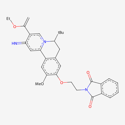 C=C(OCC)c1cn2c(cc1=N)-c1cc(OC)c(OCCN3C(=O)c4ccccc4C3=O)cc1CC2C(C)(C)C